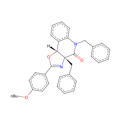 CCCCOc1ccc(C2=N[C@@]3(Cc4ccccc4)C(=O)N(Cc4ccccc4)c4ccccc4[C@H]3O2)cc1